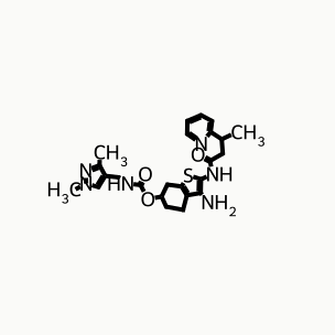 Cc1nn(C)cc1CNC(=O)OC1CCc2c(sc(NC(=O)CC(C)c3ccccn3)c2N)C1